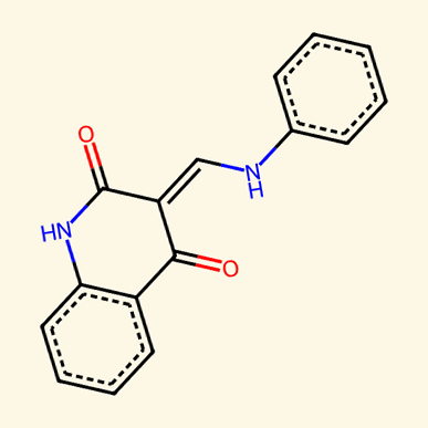 O=C1Nc2ccccc2C(=O)C1=CNc1ccccc1